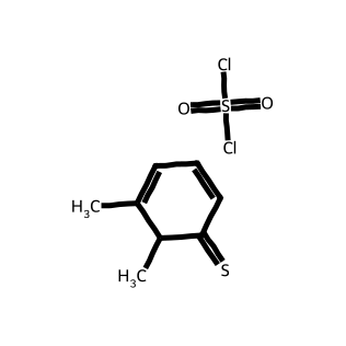 CC1=CC=CC(=S)C1C.O=S(=O)(Cl)Cl